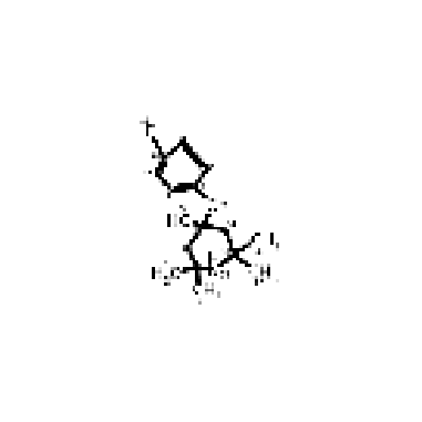 CC1(C)CC(O)(Oc2ccc(F)cc2)CC(C)(C)N1